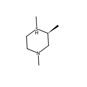 C[C@H]1CN(C)CC[SH]1C